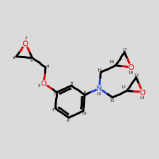 c1cc(OCC2CO2)cc(N(CC2CO2)CC2CO2)c1